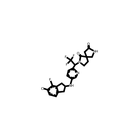 O=C1CC2(CCN(C(c3ccc(NC4Cc5ccc(Cl)c(F)c5C4)cn3)C(F)(F)F)C2=O)CN1